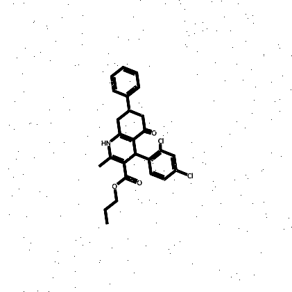 CCCOC(=O)C1=C(C)NC2=C(C(=O)CC(c3ccccc3)C2)C1c1ccc(Cl)cc1Cl